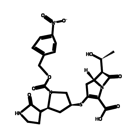 C[C@@H](O)[C@H]1C(=O)N2C(C(=O)O)=C(S[C@H]3C[C@@H](C4CCNC4=O)N(C(=O)OCc4ccc([N+](=O)[O-])cc4)C3)C[C@H]12